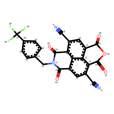 N#Cc1cc2c3c(c(C#N)cc4c3c1C(=O)OC4=O)C(=O)N(Cc1ccc(C(F)(F)F)cc1)C2=O